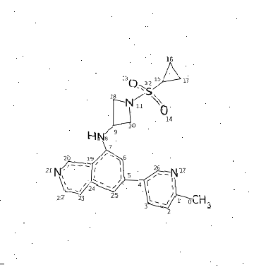 Cc1ccc(-c2cc(NC3CN(S(=O)(=O)C4CC4)C3)c3cnccc3c2)cn1